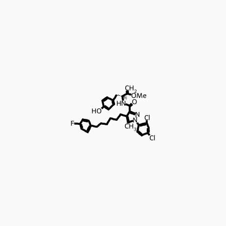 C=C(OC)[C@@H](Cc1ccc(O)cc1)NC(=O)c1nn(-c2ccc(Cl)cc2Cl)c(C)c1CCCCCCc1ccc(F)cc1